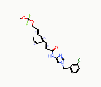 C\C=C/C(/C=C/C(=O)Nc1cn(Cc2cccc(Cl)c2)cn1)=C\C=C\COC(F)(F)OC